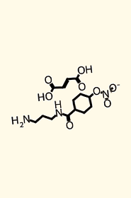 NCCCNC(=O)C1CCC(O[N+](=O)[O-])CC1.O=C(O)C=CC(=O)O